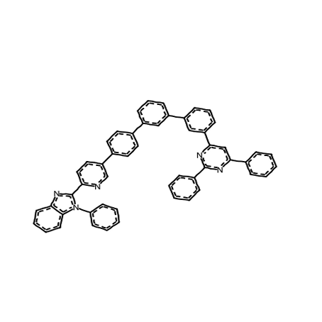 c1ccc(-c2cc(-c3cccc(-c4cccc(-c5ccc(-c6ccc(-c7nc8ccccc8n7-c7ccccc7)nc6)cc5)c4)c3)nc(-c3ccccc3)n2)cc1